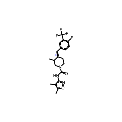 Cc1onc(NC(=O)N2CC/C(=C\c3ccc(F)c(C(F)(F)F)c3)C(C)C2)c1C